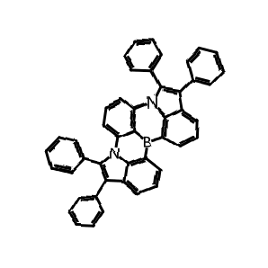 c1ccc(-c2c(-c3ccccc3)n3c4c(cccc24)B2c4c-3cccc4-n3c(-c4ccccc4)c(-c4ccccc4)c4cccc2c43)cc1